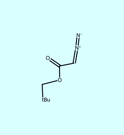 CC(C)(C)COC(=O)C=[N+]=[N-]